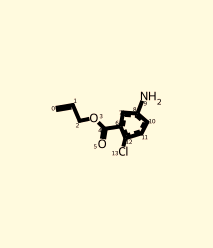 C=CCOC(=O)c1cc(N)ccc1Cl